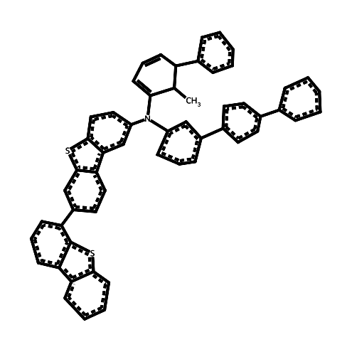 CC1C(N(c2cccc(-c3ccc(-c4ccccc4)cc3)c2)c2ccc3sc4cc(-c5cccc6c5sc5ccccc56)ccc4c3c2)=CC=CC1c1ccccc1